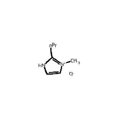 CCCc1[nH]cc[n+]1C.[Cl-]